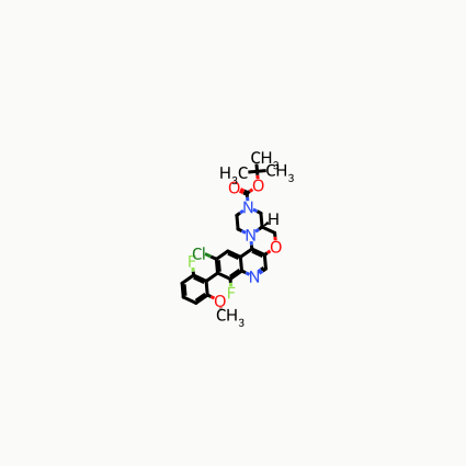 COc1cccc(F)c1-c1c(Cl)cc2c3c(cnc2c1F)OC[C@H]1CN(C(=O)OC(C)(C)C)CCN31